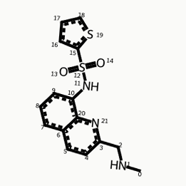 CNCc1ccc2cccc(NS(=O)(=O)c3cccs3)c2n1